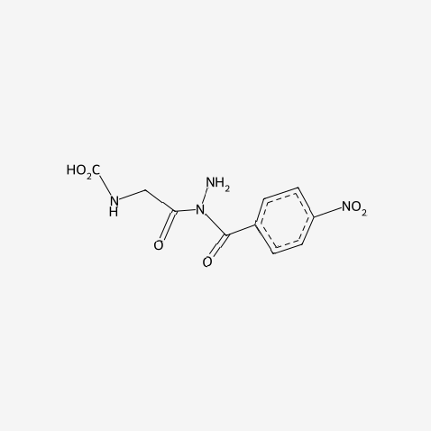 NN(C(=O)CNC(=O)O)C(=O)c1ccc([N+](=O)[O-])cc1